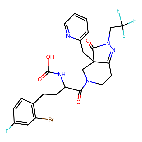 O=C(O)NC(CCc1ccc(F)cc1Br)C(=O)N1CCC2=NN(CC(F)(F)F)C(=O)C2(Cc2ccccn2)C1